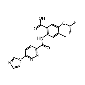 O=C(Nc1cc(F)c(OC(F)F)cc1C(=O)O)c1ccc(-n2ccnc2)nn1